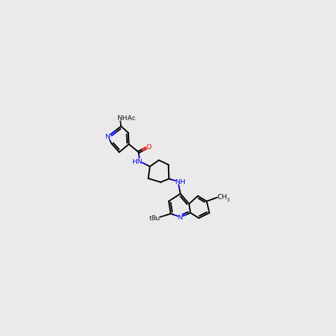 CC(=O)Nc1cc(C(=O)NC2CCC(Nc3cc(C(C)(C)C)nc4ccc(C)cc34)CC2)ccn1